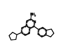 Bc1cc2cc(C3CCCC3)ccc2c(-c2ccc3c(c2)CCC3)n1